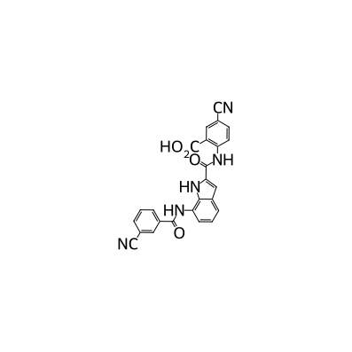 N#Cc1cccc(C(=O)Nc2cccc3cc(C(=O)Nc4ccc(C#N)cc4C(=O)O)[nH]c23)c1